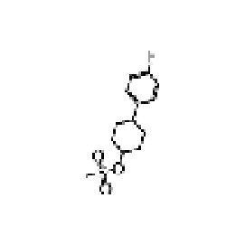 CS(=O)(=O)OC1CCC(c2ccc(F)cc2)CC1